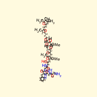 C=C1C[C@H](CC[C@@H]2C[C@H]3OC4C(O[C@H]5CC[C@H](CC(=O)C[C@@H]6[C@@H](OC)[C@@H](C[C@H](O)CNC(=O)CNC(=O)[C@H](Cc7ccccc7)NC(=O)CNC(=O)CN)O[C@H]6C)O[C@@H]5[C@@H]4OC)[C@H]3O2)O[C@H]1CC[C@H]1C[C@@H](C)C(=C)[C@@H](C)O1